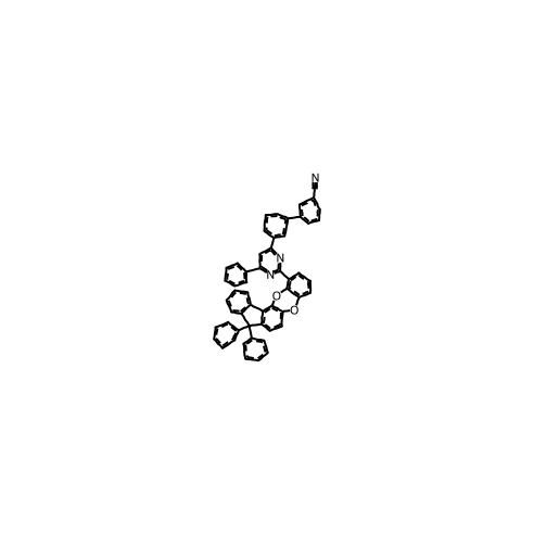 N#Cc1cccc(-c2cccc(-c3cc(-c4ccccc4)nc(-c4cccc5c4Oc4c(ccc6c4-c4ccccc4C6(c4ccccc4)c4ccccc4)O5)n3)c2)c1